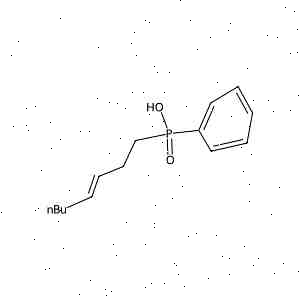 CCCCC=CCCP(=O)(O)c1ccccc1